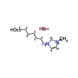 Br.CCCCCCCCCCCCCCN1C=CN(C)C1